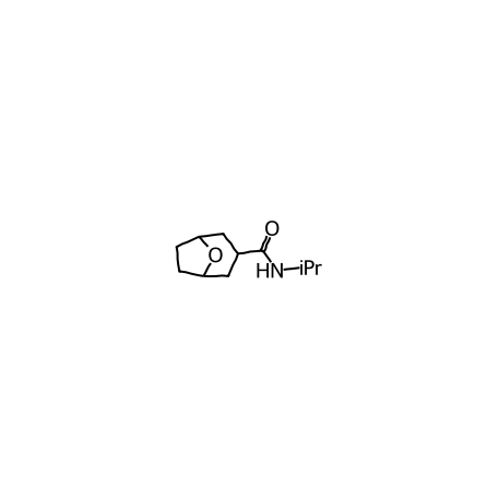 CC(C)NC(=O)C1CC2CCC(C1)O2